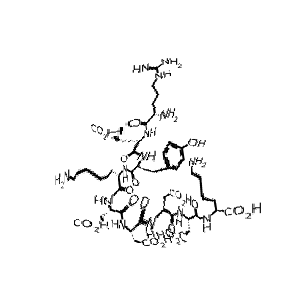 N=C(N)NCCC[C@H](N)C(=O)N[C@@H](CC(=O)O)C(=O)N[C@@H](Cc1ccc(O)cc1)C(=O)N[C@@H](CCCCN)C(=O)N[C@@H](CC(=O)O)C(=O)N[C@@H](CC(=O)O)C(=O)N[C@@H](CC(=O)O)C(=O)N[C@@H](CC(=O)O)C(=O)N[C@@H](CCCCN)C(=O)O